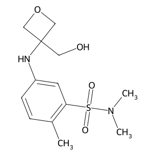 Cc1ccc(NC2(CO)COC2)cc1S(=O)(=O)N(C)C